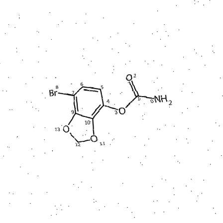 NC(=O)Oc1ccc(Br)c2c1OCO2